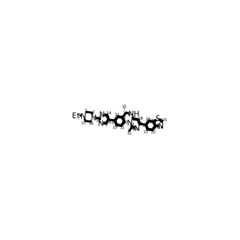 CCN1CCN(c2ncc(-c3cccc([C@H](C)Nc4cc(-c5ccc6ncsc6c5)nc(C)n4)c3)cn2)CC1